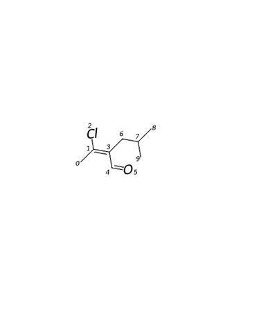 CC(Cl)=C(C=O)CC(C)C